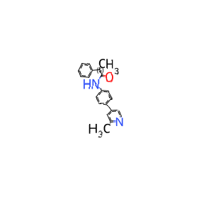 Cc1cc(-c2ccc(NC(=O)[C@@H](C)c3ccccc3)cc2)ccn1